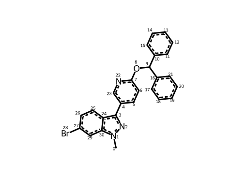 Cn1nc(-c2ccc(OC(c3ccccc3)c3ccccc3)nc2)c2ccc(Br)cc21